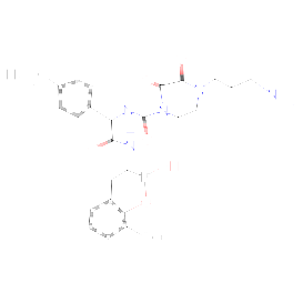 NCCCN1CCN(C(=O)NC(C(=O)N[C@H]2Cc3cccc(C(=O)O)c3OB2O)c2ccc(C(=O)O)cc2)C(=O)C1=O